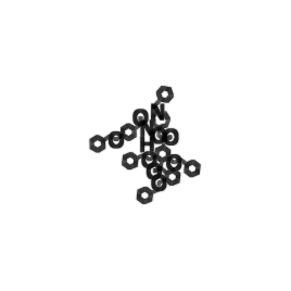 O=C(NC1=CN(Cc2ccccc2)C=CC=C1OC(=O)c1cc(OCc2ccccc2)c(C(=O)c2ccccc2OCc2ccccc2)c(OCc2ccccc2)c1)c1ccc(OCc2ccccc2)cc1